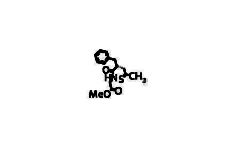 COC(=O)CNC(=O)[C@@H](CC(C)=S)Cc1ccccc1